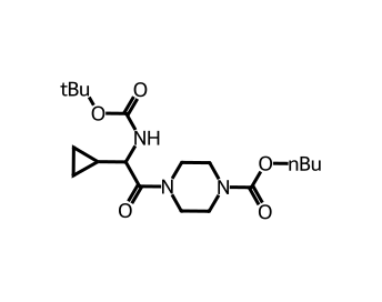 CCCCOC(=O)N1CCN(C(=O)C(NC(=O)OC(C)(C)C)C2CC2)CC1